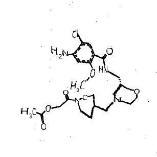 COc1cc(N)c(Cl)cc1C(=O)NC[C@H]1CN(CC2CCN(C(=O)COC(C)=O)CC2)CCO1